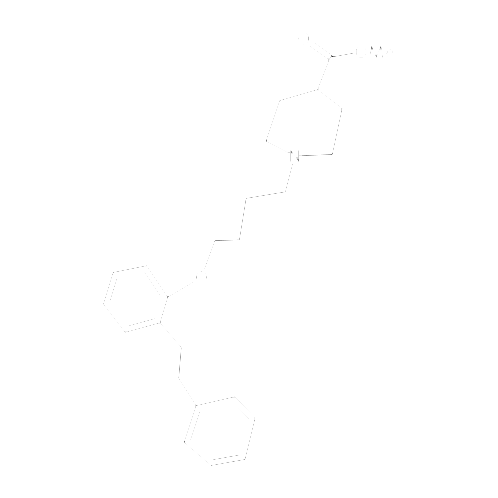 COC(=O)C1CCN(CCCCOc2ccccc2CCc2ccccc2)CC1